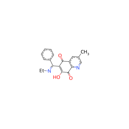 CCN=C(C1=C(O)C(=O)c2ncc(C)cc2C1=O)c1ccccc1